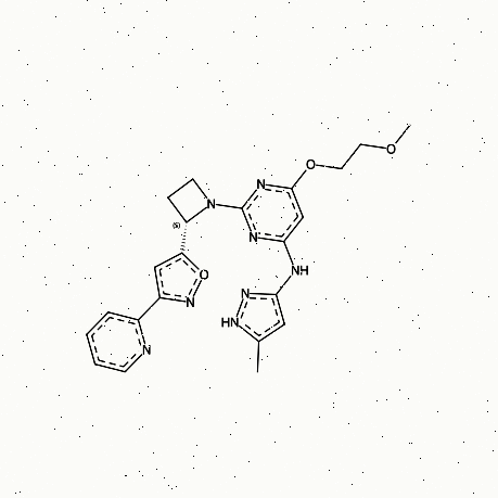 COCCOc1cc(Nc2cc(C)[nH]n2)nc(N2CC[C@H]2c2cc(-c3ccccn3)no2)n1